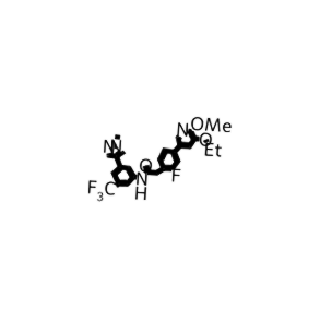 CCOc1cc(-c2ccc(CC(=O)Nc3cc(-c4cnn(C)c4)cc(C(F)(F)F)c3)c(F)c2)cnc1OC